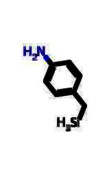 Nc1ccc(C[SiH3])cc1